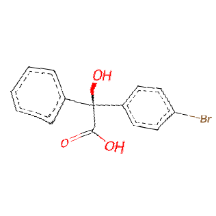 O=C(O)[C@](O)(c1ccccc1)c1ccc(Br)cc1